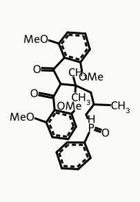 COc1cccc(OC)c1C(=O)C(C(=O)c1c(OC)cccc1OC)C(C)(C)CC(C)C[PH](=O)c1ccccc1